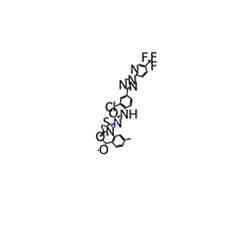 COC(C)c1ccc(C)cc1N1C(=O)CS/C1=N\C(=O)Nc1ccc(-c2ncn(-c3ccc(C(F)(F)F)cn3)n2)cc1Cl